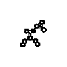 c1ccc(-n2c3ccccc3c3ccc(-c4ccc5c(c4)c4ccccc4n5-c4cc(-c5ccc6ccccc6c5)cc(-c5ccc6ccccc6c5)c4)cc32)cc1